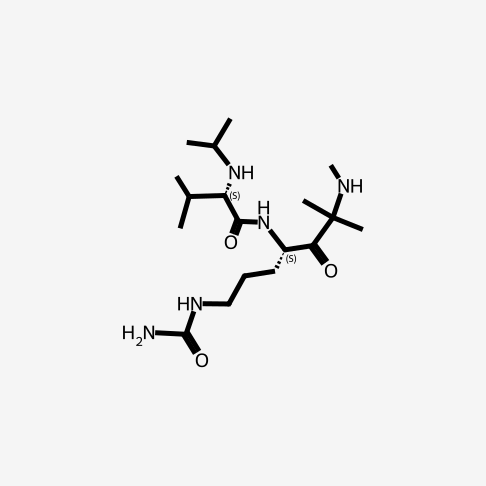 CNC(C)(C)C(=O)[C@H](CCCNC(N)=O)NC(=O)[C@@H](NC(C)C)C(C)C